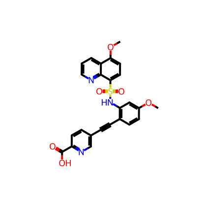 COc1ccc(C#Cc2ccc(C(=O)O)nc2)c(NS(=O)(=O)c2ccc(OC)c3cccnc23)c1